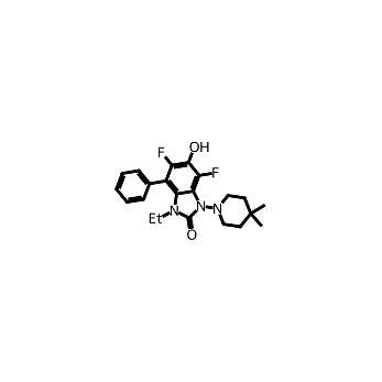 CCn1c(=O)n(N2CCC(C)(C)CC2)c2c(F)c(O)c(F)c(-c3ccccc3)c21